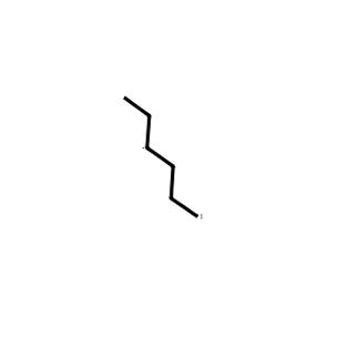 [CH]CC[CH]CC